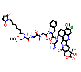 CC[C@@]1(O)C(=O)OCc2c1cc1n(c2=O)Cc2c-1nc1cc(F)c(C)c3c1c2[C@@H](N(CC(N)=O)C(=O)[C@H](Cc1ccccc1)NC(=O)CNC(=O)CNC(=O)[C@H](CC(=O)O)NC(=O)CCCCCN1C(=O)C=CC1=O)CC3